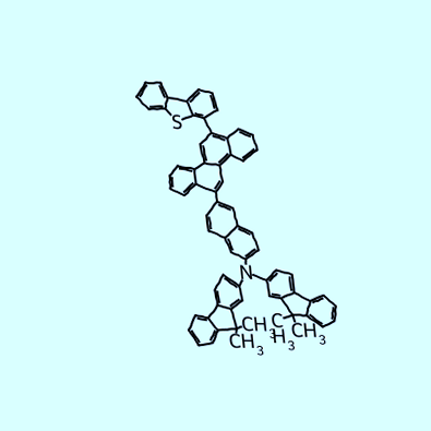 CC1(C)c2ccccc2-c2ccc(N(c3ccc4c(c3)C(C)(C)c3ccccc3-4)c3ccc4cc(-c5cc6c7ccccc7c(-c7cccc8c7sc7ccccc78)cc6c6ccccc56)ccc4c3)cc21